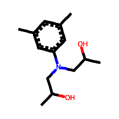 Cc1cc(C)cc(N(CC(C)O)CC(C)O)c1